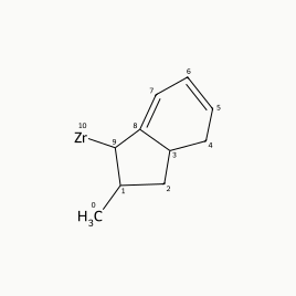 CC1CC2CC=CC=C2[CH]1[Zr]